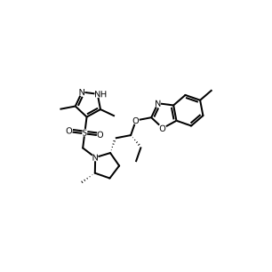 CC[C@H](C[C@@H]1CC[C@H](C)N1CS(=O)(=O)c1c(C)n[nH]c1C)Oc1nc2cc(C)ccc2o1